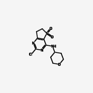 O=S1(=O)CCc2nc(Cl)nc(NC3CCOCC3)c21